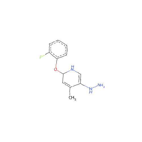 CC1=CC(Oc2ccccc2F)NC=C1NN